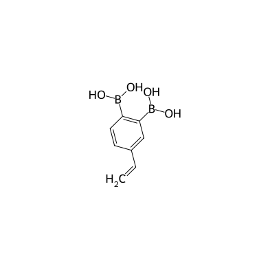 C=Cc1ccc(B(O)O)c(B(O)O)c1